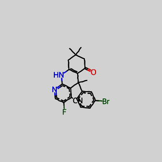 CC1(C)CC(=O)C2=C(C1)Nc1ncc(F)c(C#N)c1C2(C)c1cccc(Br)c1